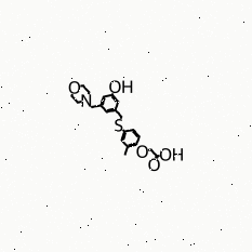 Cc1cc(SCc2cc(O)cc(CN3CCOCC3)c2)ccc1OCC(=O)O